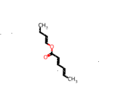 C/C=C/C=C/C(=O)OC=CCC